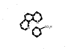 O=S(=O)(O)c1ccccc1.c1cnc2c(c1)ccc1cccnc12